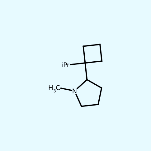 CC(C)C1(C2CCCN2C)CCC1